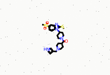 CSc1nc2cc(S(C)(=O)=O)ccc2n1C1CCN(C(=O)C2CCN(Cc3cc[nH]c3)CC2)CC1